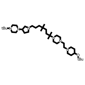 CC(C)(CCCN1CCC(N2CCN(C(C)(C)C)CC2)C1)CCC(C)(C)N1CCN(CCN2CCC(OC(C)(C)C)CC2)CC1